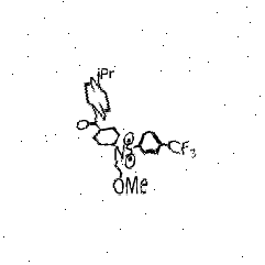 COCCN([C@H]1CC[C@H](C(=O)N2CCN(C(C)C)CC2)CC1)S(=O)(=O)c1ccc(C(F)(F)F)cc1